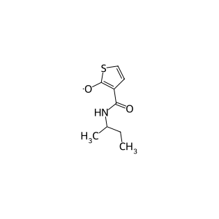 CCC(C)NC(=O)c1ccsc1[O]